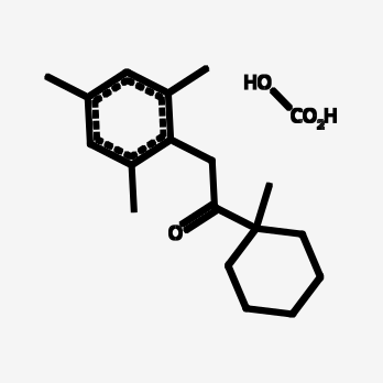 Cc1cc(C)c(CC(=O)C2(C)CCCCC2)c(C)c1.O=C(O)O